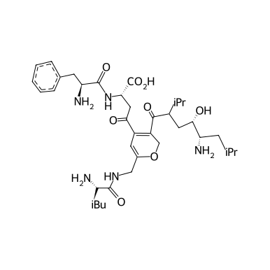 CC[C@H](C)[C@H](N)C(=O)NCC1=CC(C(=O)C[C@H](NC(=O)[C@@H](N)Cc2ccccc2)C(=O)O)=C(C(=O)C(C[C@H](O)[C@@H](N)CC(C)C)C(C)C)CO1